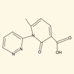 Cc1ccc(C(=O)O)c(=O)n1-c1cccnn1